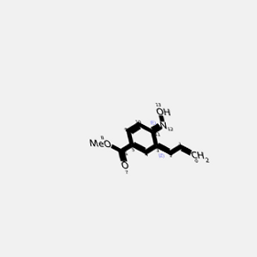 C=C/C=C1/C=C(C(=O)OC)C=C/C1=N\O